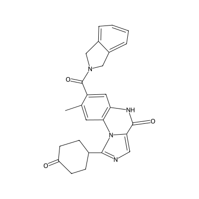 Cc1cc2c(cc1C(=O)N1Cc3ccccc3C1)[nH]c(=O)c1cnc(C3CCC(=O)CC3)n12